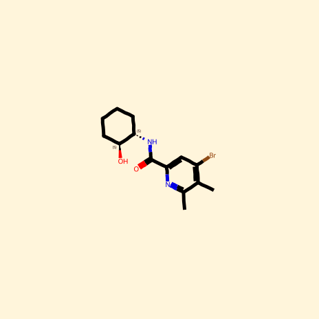 Cc1nc(C(=O)N[C@H]2CCCC[C@@H]2O)cc(Br)c1C